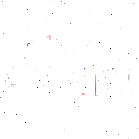 CCC(NCCNC(CC)C(=O)O)C(=O)O